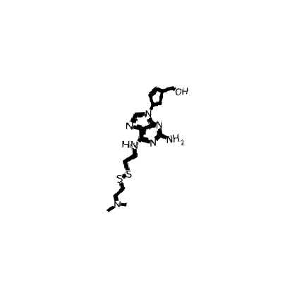 CN(C)CCSSCCNc1nc(N)nc2c1ncn2C1C=CC(CO)C1